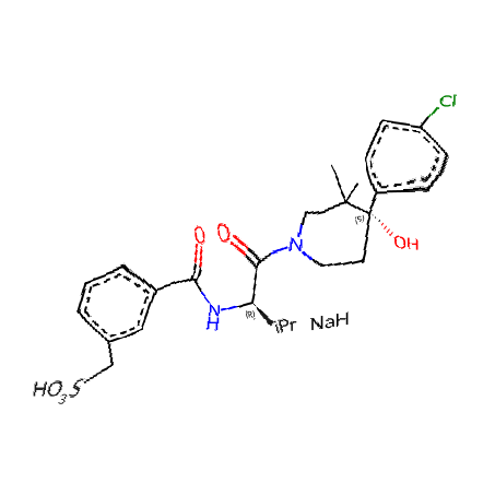 CC(C)[C@@H](NC(=O)c1cccc(CS(=O)(=O)O)c1)C(=O)N1CC[C@](O)(c2ccc(Cl)cc2)C(C)(C)C1.[NaH]